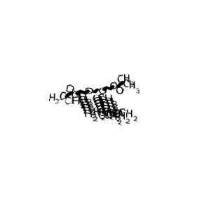 C=C.C=C.C=C.C=C.C=C.C=C.C=C.C=C.C=C.C=C(C)C(=O)OCCOCCOCCOC(=O)C(=C)C